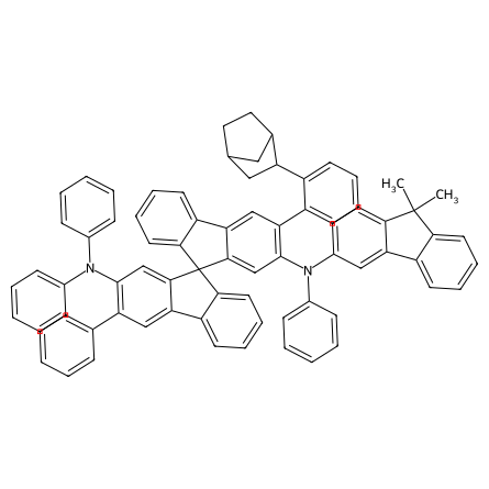 CC1(C)c2ccccc2-c2cc(N(c3ccccc3)c3cc4c(cc3-c3ccccc3C3CC5CCC3C5)-c3ccccc3C43c4ccccc4-c4cc(-c5ccccc5)c(N(c5ccccc5)c5ccccc5)cc43)ccc21